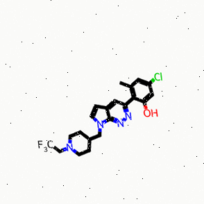 Cc1cc(Cl)cc(O)c1-c1cc2ccn(CC3CCN(CC(F)(F)F)CC3)c2nn1